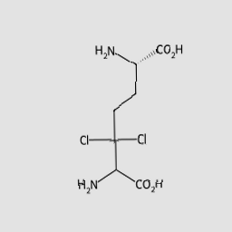 NC(C(=O)O)C(Cl)(Cl)CC[C@H](N)C(=O)O